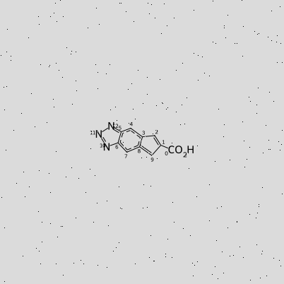 O=C(O)C1=Cc2cc3c(cc2=C1)N=NN=3